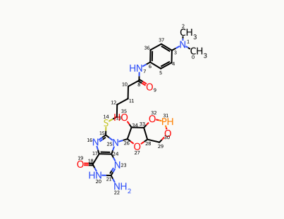 CN(C)c1ccc(NC(=O)CCCCSc2nc3c(=O)[nH]c(N)nc3n2C2OC3COPOC3C2O)cc1